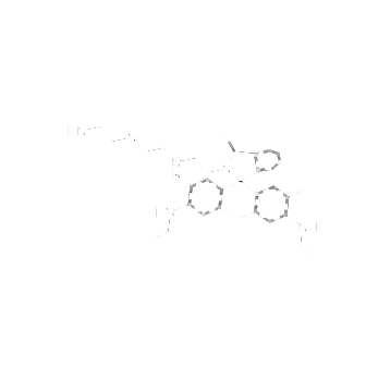 CCNc1cc2c(cc1C)C1(c3cc(C)c(NCC)cc3O2)c2ccccc2C(=O)N1CCNCCNCCN